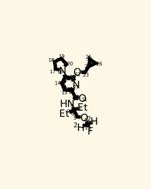 [2H]C([2H])(F)OCC(CC)(CC)NC(=O)c1ccc(N2CCCC2)c(OCC2CC2)n1